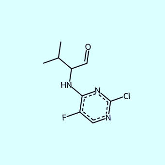 CC(C)C(C=O)Nc1nc(Cl)ncc1F